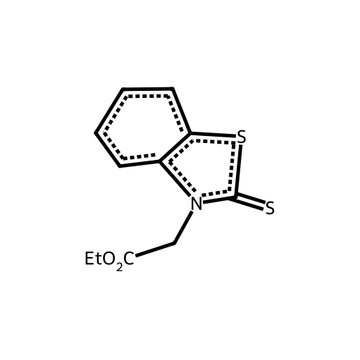 CCOC(=O)Cn1c(=S)sc2ccccc21